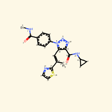 CCNC(=O)c1ccc(-n2nnc(C(=O)NC3CC3)c2C=C(C)c2nccs2)cc1